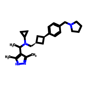 Cc1n[nH]c(C)c1C(C)N(C[C@H]1C[C@H](c2ccc(CN3CCCC3)cc2)C1)C1CC1